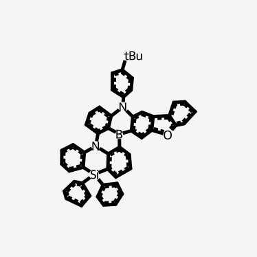 CC(C)(C)c1ccc(N2c3cc4c(cc3B3c5cccc6c5N(c5ccccc5[Si]6(c5ccccc5)c5ccccc5)c5cccc2c53)oc2ccccc24)cc1